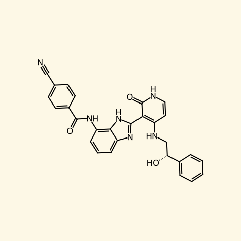 N#Cc1ccc(C(=O)Nc2cccc3nc(-c4c(NC[C@@H](O)c5ccccc5)cc[nH]c4=O)[nH]c23)cc1